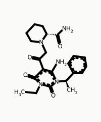 CCn1c(=O)c(C(=O)CN2CCCC[C@@H]2C(N)=O)c(N)n([C@H](C)c2ccccc2)c1=O